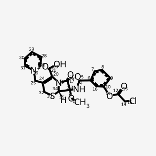 COC1(NC(=O)c2cccc(OC(=O)CCl)c2)C(=O)N2C(C(=O)O)=C(C[n+]3ccccc3)CS[C@H]21